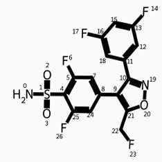 NS(=O)(=O)c1c(F)cc(-c2c(-c3cc(F)cc(F)c3)noc2CF)cc1F